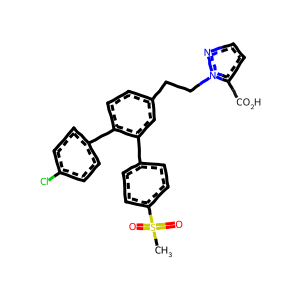 CS(=O)(=O)c1ccc(-c2cc(CCn3nccc3C(=O)O)ccc2-c2ccc(Cl)cc2)cc1